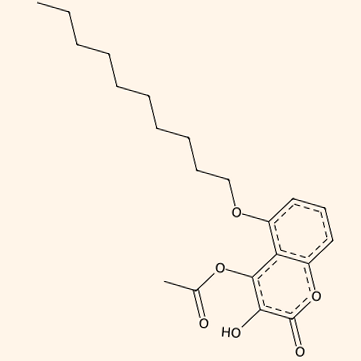 CCCCCCCCCCOc1cccc2oc(=O)c(O)c(OC(C)=O)c12